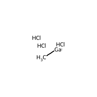 Cl.Cl.Cl.[CH3][Ga]